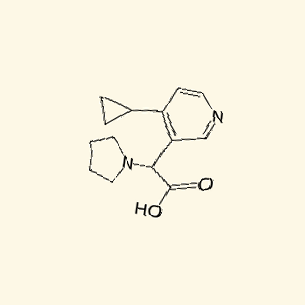 O=C(O)C(c1cnccc1C1CC1)N1CCCC1